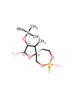 B[C@@H]1O[C@@]2(CCOP(B)(=S)OC2)C(C)[C@@H]1O[Si](C)(C)C(C)(C)C